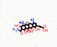 CN(C)c1cc(C#CC(=O)O)c(O)c2c1C[C@H]1C[C@H]3[C@@H](N(C)C)C(O)=C(C(N)=O)C(=O)[C@@]3(O)C(O)=C1C2=O